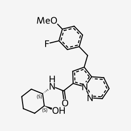 COc1ccc(Cc2cc(C(=O)N[C@H]3CCCC[C@@H]3O)n3ncccc23)cc1F